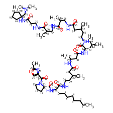 CCCCCCCC[C@H](NC(=O)[C@@H]1CCCN1C(=O)c1coc(C)n1)C(=O)NCCC(C)CC(=O)NC(C)CC(=O)N[C@@H](CC(C)C)C(=O)NCCC(C)CC(=O)NCC(C)C(=O)NC[C@@H](C)C(=O)NCCC(=O)NC1(CN(C)C)CCCC1